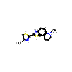 CN1CCCc2c1ccc1nc(C3=N[C@@H](C(=O)O)CS3)sc21